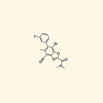 Cc1c(-c2cccc(F)c2)c(Br)c2oc(C(=O)N(C)C)nc2c1C#N